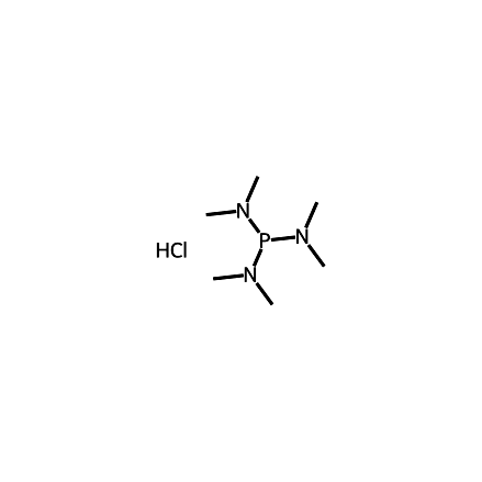 CN(C)P(N(C)C)N(C)C.Cl